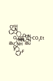 CCOC(=O)c1noc(C(NC(=O)[C@@]2(NC(=O)C(NC(=O)Cc3c(F)cccc3F)C(C)CC)CCc3[nH]c4c(C(F)(F)F)cccc4c3C2)C(C)CC)n1